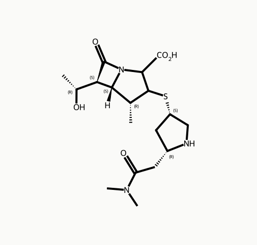 C[C@@H](O)[C@H]1C(=O)N2C(C(=O)O)C(S[C@@H]3CN[C@H](CC(=O)N(C)C)C3)[C@H](C)[C@H]12